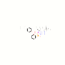 Cc1ccc(Oc2ccccc2S(=O)(=O)NC(C=O)CC(=O)O)cc1